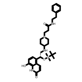 CC(C)(C)[Si](C)(C)O[C@@H](CNC1CCN(CCC(=O)NCCc2ccccc2)CC1)c1ccc(O)c2[nH]c(=O)ccc12